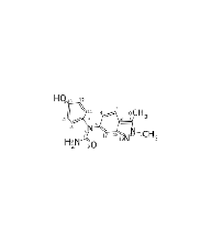 Cc1c2ccc(N(C(N)=O)c3ccc(O)cc3)cc2nn1C